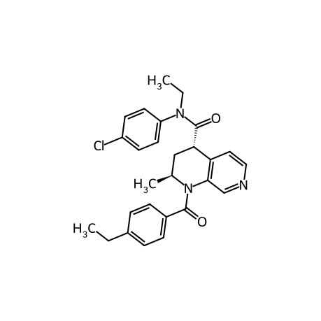 CCc1ccc(C(=O)N2c3cnccc3[C@@H](C(=O)N(CC)c3ccc(Cl)cc3)C[C@@H]2C)cc1